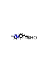 Cc1ccn(-c2ccc(CC=CC=O)cc2)n1